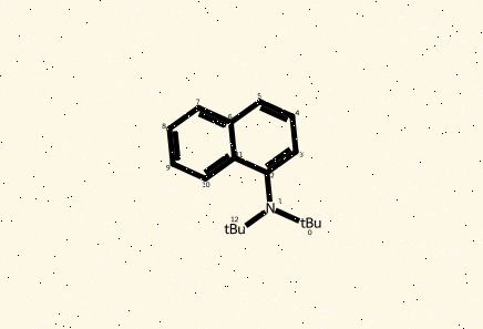 CC(C)(C)N(c1cccc2ccccc12)C(C)(C)C